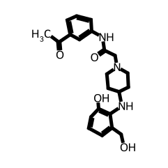 CC(=O)c1cccc(NC(=O)CN2CCC(Nc3c(O)cccc3CO)CC2)c1